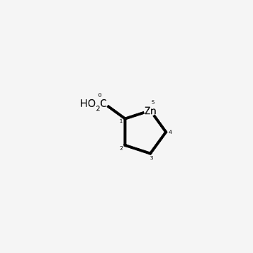 O=C(O)[CH]1CC[CH2][Zn]1